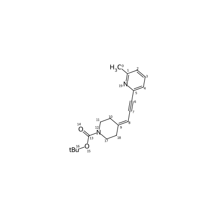 Cc1cccc(C#CC=C2CCN(C(=O)OC(C)(C)C)CC2)n1